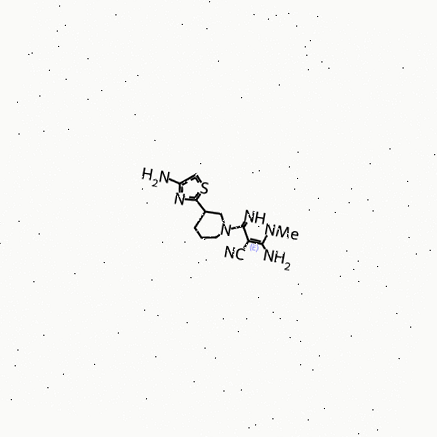 CN/C(N)=C(/C#N)C(=N)N1CCCC(c2nc(N)cs2)C1